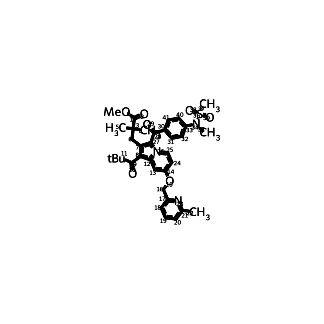 COC(=O)C(C)(C)Cc1c(C(=O)C(C)(C)C)c2cc(OCc3cccc(C)n3)ccn2c1C(=O)c1ccc(N(C)S(C)(=O)=O)cc1